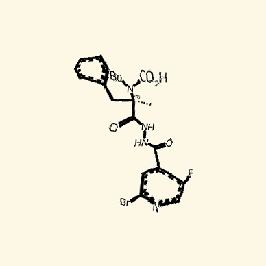 CC(C)(C)N(C(=O)O)[C@](C)(Cc1ccccc1)C(=O)NNC(=O)c1cc(Br)ncc1F